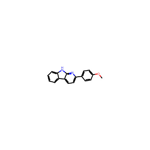 COc1ccc(-c2ccc3c(n2)[nH]c2ccccc23)cc1